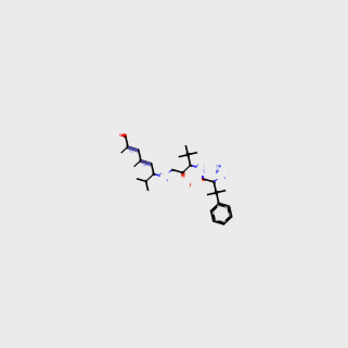 CNC(C(=O)NC(C(=O)CNC(/C=C(C)/C=C(\C)C(=O)O)C(C)C)C(C)(C)C)C(C)(C)c1ccccc1